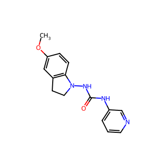 COc1ccc2c(c1)CCN2NC(=O)Nc1cccnc1